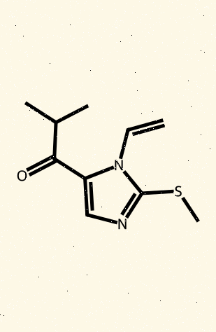 C=Cn1c(C(=O)C(C)C)cnc1SC